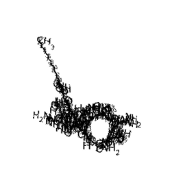 CCCCCCCCCCCCCCCC(=O)NS(=O)(=O)CCCC(=O)NCC(=O)N[C@@H](CO)C(=O)N[C@@H](CCC(N)=O)C(=O)N[C@@H](CCCNC(=N)N)C(=O)N[C@@H](CO)C(=O)N[C@@H](CCCC)C(=O)N[C@H]1CCC(=O)NCCCC[C@@H](C(N)=O)NC(=O)[C@H](Cc2c[nH]c3ccccc23)NC(=O)[C@H](CCCNC(=N)N)NC(=O)[C@@H](Cc2ccccc2)NC(=O)[C@H](CCC(N)=O)NC1=O